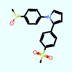 C[S+]([O-])c1ccc(-n2cccc2-c2ccc(S(C)(=O)=O)cc2)cc1